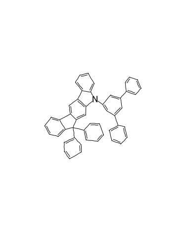 c1ccc(-c2cc(-c3ccccc3)cc(-n3c4ccccc4c4cc5c(cc43)C(c3ccccc3)(c3ccccc3)c3ccccc3-5)c2)cc1